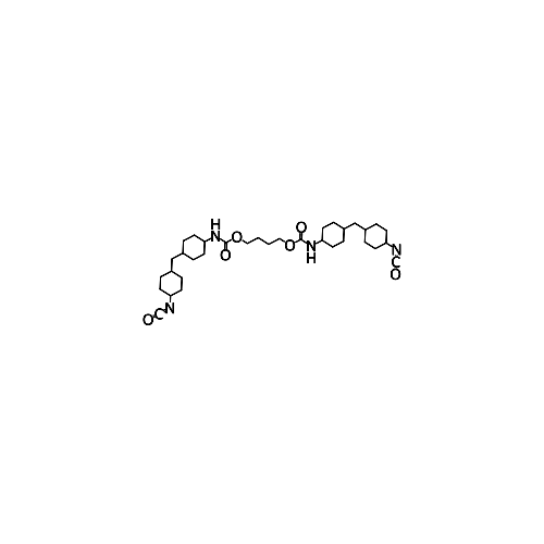 O=C=NC1CCC(CC2CCC(NC(=O)OCCCCOC(=O)NC3CCC(CC4CCC(N=C=O)CC4)CC3)CC2)CC1